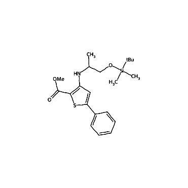 COC(=O)c1sc(-c2ccccc2)cc1NC(C)CO[Si](C)(C)C(C)(C)C